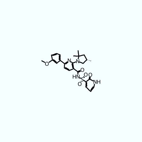 COc1cccc(-c2ccc(C(=O)NS(=O)(=O)c3ccc[nH]c3=O)c(N3C[C@@H](C)CC3(C)C)n2)c1